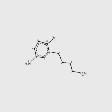 CC(=O)OCCCCc1cc(N)ccc1Br